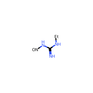 CCNC(=N)NN=O